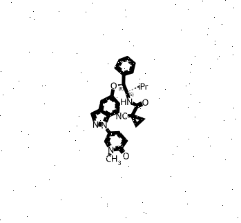 CC(C)[C@H](NC(=O)C1(C#N)CC1)[C@H](Oc1ccc2c(cnn2-c2ccc(=O)n(C)c2)c1)c1ccccc1